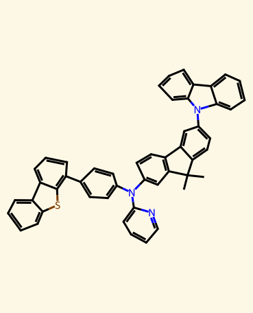 CC1(C)c2ccc(-n3c4ccccc4c4ccccc43)cc2-c2ccc(N(c3ccc(-c4cccc5c4sc4ccccc45)cc3)c3ccccn3)cc21